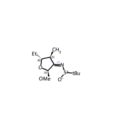 CC[C@H]1O[C@H](OC)/C(=N\[S+]([O-])C(C)(C)C)[C@@H]1C